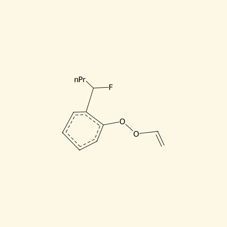 C=COOc1ccccc1C(F)CCC